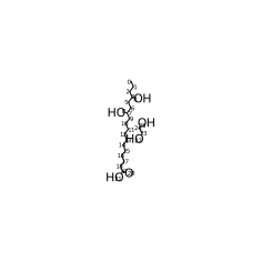 CCCC(O)CCC(O)CCCCCCCCCCC(=O)O.OCCO